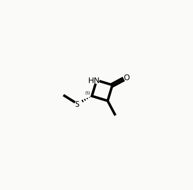 CS[C@@H]1NC(=O)C1C